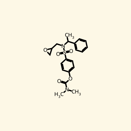 CC(c1ccccc1)N(CC1CO1)S(=O)(=O)c1ccc(OC(=O)N(C)C)cc1